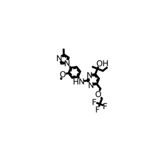 CCC(C)(O)c1cc(COCC(F)(F)F)nc(Nc2ccc(-n3cnc(C)c3)c(OC)c2)n1